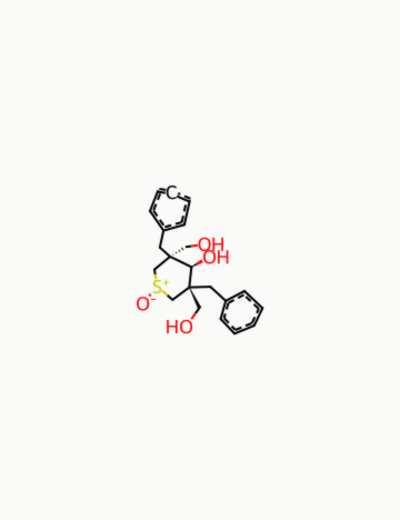 [O-][S@+]1C[C@@](CO)(Cc2ccccc2)[C@@H](O)[C@](CO)(Cc2ccccc2)C1